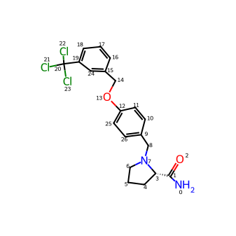 NC(=O)[C@@H]1CCCN1Cc1ccc(OCc2cccc(C(Cl)(Cl)Cl)c2)cc1